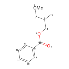 COCC(C)COC(=O)c1ccccc1